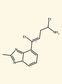 CC/C(=C\CC(N)CC)c1cccn2nc(C)nc12